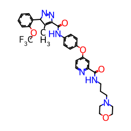 CC1=C(C(=O)Nc2ccc(Oc3ccnc(C(=O)NCCCN4CCOCC4)c3)cc2)N=NC1c1ccccc1OC(F)(F)F